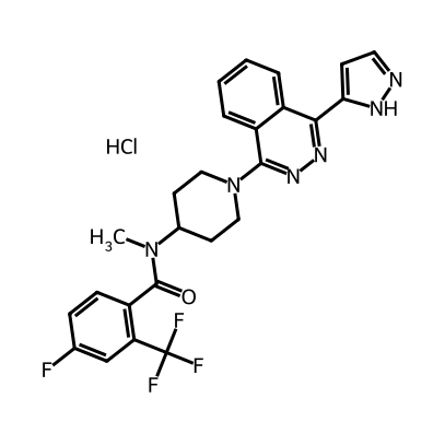 CN(C(=O)c1ccc(F)cc1C(F)(F)F)C1CCN(c2nnc(-c3ccn[nH]3)c3ccccc23)CC1.Cl